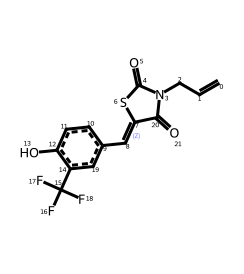 C=CCN1C(=O)S/C(=C\c2ccc(O)c(C(F)(F)F)c2)C1=O